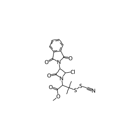 COC(=O)C(N1C(=O)C(N2C(=O)c3ccccc3C2=O)C1Cl)C(C)(C)SSC#N